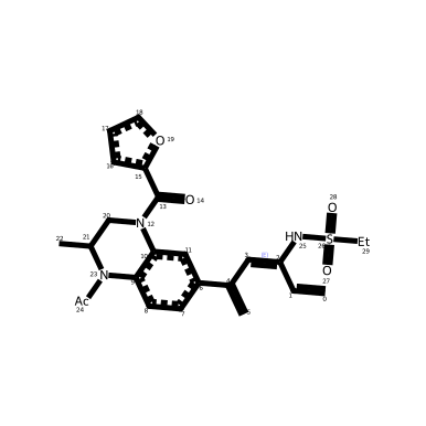 C=C/C(=C\C(=C)c1ccc2c(c1)N(C(=O)c1ccco1)CC(C)N2C(C)=O)NS(=O)(=O)CC